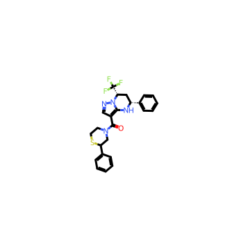 O=C(c1cnn2c1N[C@@H](c1ccccc1)C[C@H]2C(F)(F)F)N1CCSC(c2ccccc2)C1